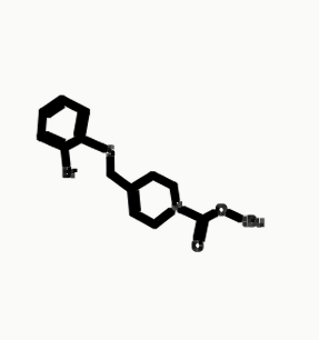 CC(C)(C)OC(=O)N1CC=C(CSc2ccccc2Br)CC1